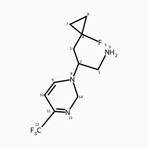 NCC(CC1(F)CC1)N1C=CC(C(F)(F)F)=NC1